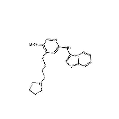 COc1cnc(Nc2cnc3ccccn23)cc1CCCCN1CCCC1